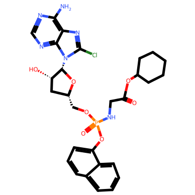 Nc1ncnc2c1nc(Cl)n2[C@@H]1O[C@H](COP(=O)(NCC(=O)OC2CCCCC2)Oc2cccc3ccccc23)C[C@@H]1O